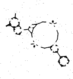 Nc1nc2c(ncn2C2O[C@@H]3COP(=O)(S)OCCn4nc(-c5ccncc5)nc4COP(=O)(S)O[C@@H]2[C@@H]3F)c(=O)[nH]1